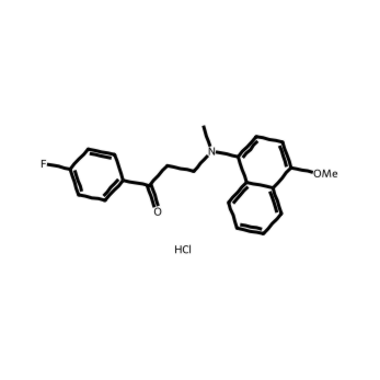 COc1ccc(N(C)CCC(=O)c2ccc(F)cc2)c2ccccc12.Cl